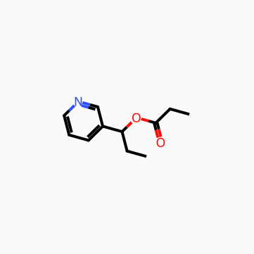 CCC(=O)OC(CC)c1cccnc1